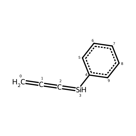 C=C=C=[SiH]c1ccccc1